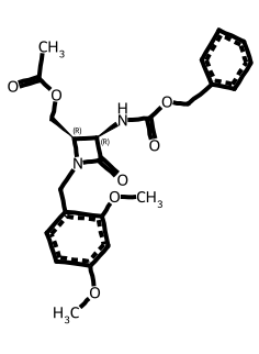 COc1ccc(CN2C(=O)[C@H](NC(=O)OCc3ccccc3)[C@@H]2COC(C)=O)c(OC)c1